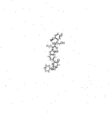 C[C@H](C(=O)N[C@H](CO)c1cc(F)ccc1C#N)N1Cc2ccc(-c3nc(NC4CCOCC4)ncc3Cl)cc2C1=O